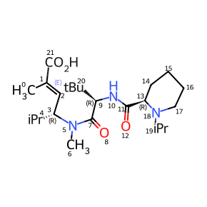 C/C(=C\[C@@H](C(C)C)N(C)C(=O)[C@H](NC(=O)[C@H]1CCCCN1C(C)C)C(C)(C)C)C(=O)O